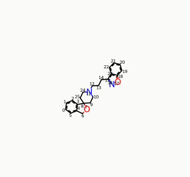 c1ccc2c(c1)COC21CCN(CCCc2noc3ccccc23)CC1